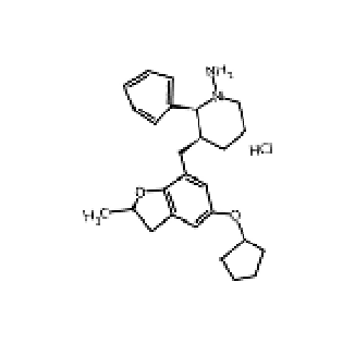 CC1Cc2cc(OC3CCCC3)cc(C[C@@H]3CCCN(N)[C@@H]3c3ccccc3)c2O1.Cl